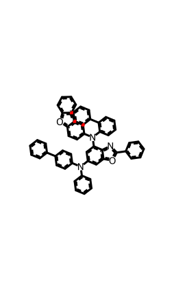 c1ccc(-c2ccc(N(c3ccccc3)c3cc(N(c4ccc5oc6ccccc6c5c4)c4ccccc4-c4ccccc4)c4nc(-c5ccccc5)oc4c3)cc2)cc1